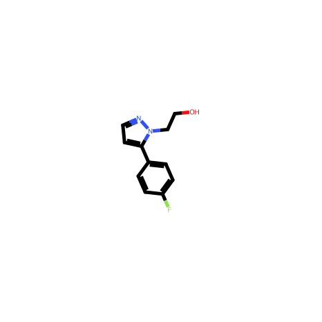 OCCn1nccc1-c1ccc(F)cc1